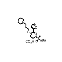 CCCCS(=O)(=O)N[C@@H](CN(OCCCN1CCCCC1)C(=O)c1ccno1)C(=O)O